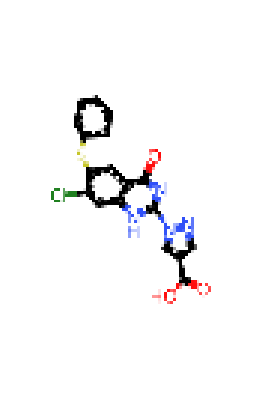 O=C(O)c1cnn(-c2nc(=O)c3cc(Sc4ccccc4)c(Cl)cc3[nH]2)c1